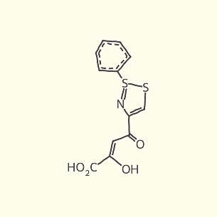 O=C(O)C(O)=CC(=O)C1=CSS(c2ccccc2)=N1